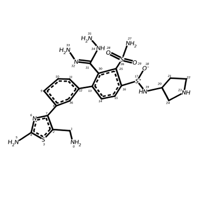 NCc1sc(N)nc1-c1cccc(-c2ccc([S+]([O-])NC3CCNC3)c(S(N)(=O)=O)c2/C(=N/N)NN)c1